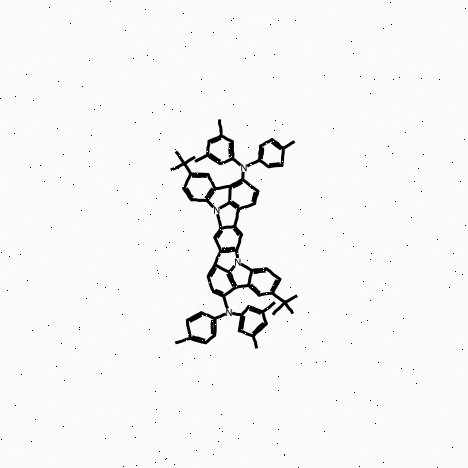 Cc1ccc(N(c2cc(C)cc(C)c2)c2ccc3c4cc5c(cc4n4c6ccc(C(C)(C)C)cc6c2c34)c2ccc(N(c3ccc(C)cc3)c3cc(C)cc(C)c3)c3c4cc(C(C)(C)C)ccc4n5c23)cc1